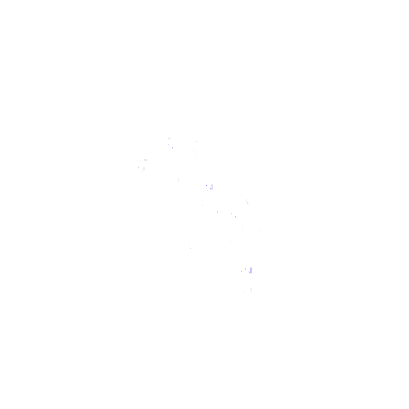 Cc1c(SNC(C)C)c2n(c1C(=O)Nc1cc(F)nc(C#N)c1)CCC2